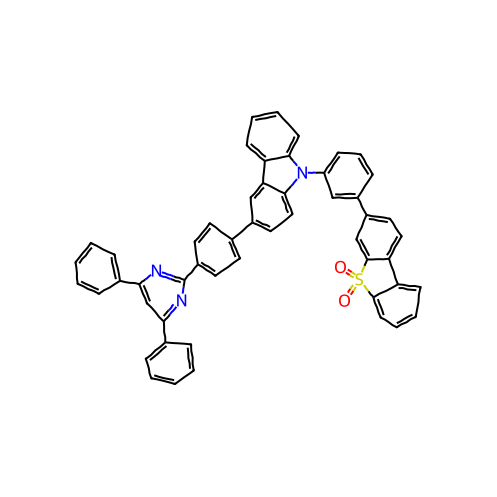 O=S1(=O)c2ccccc2-c2ccc(-c3cccc(-n4c5ccccc5c5cc(-c6ccc(-c7nc(-c8ccccc8)cc(-c8ccccc8)n7)cc6)ccc54)c3)cc21